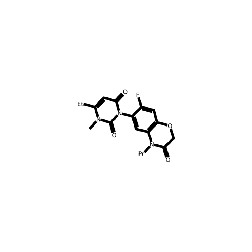 CCc1cc(=O)n(-c2cc3c(cc2F)OCC(=O)N3C(C)C)c(=O)n1C